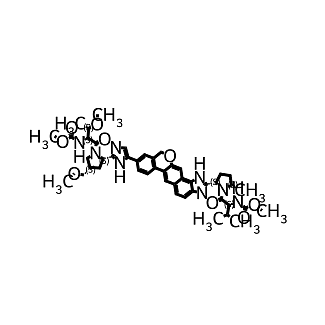 COC[C@H]1C[C@@H](c2ncc(-c3ccc4c(c3)COc3cc5c(ccc6nc([C@@H]7CC[C@H](C)N7C(=O)[C@@H](NC(=O)OC)C(C)C)[nH]c65)cc3-4)[nH]2)N(C(=O)[C@@H](NC(=O)OC)[C@@H](C)OC)C1